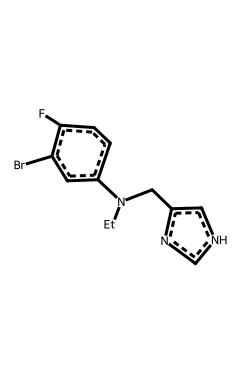 CCN(Cc1c[nH]cn1)c1ccc(F)c(Br)c1